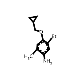 CCc1cc(N)c(C)cc1OCC1CC1